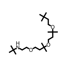 CC(C)(C)CCOC(C)(C)CCOC(C)(C)CCOCCNC(C)(C)C